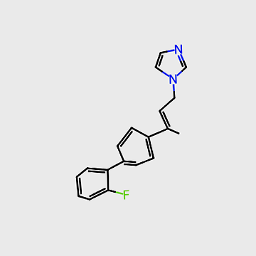 CC(=CCn1ccnc1)c1ccc(-c2ccccc2F)cc1